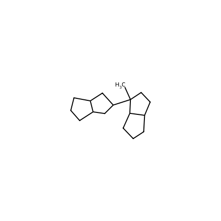 CC1(C2CC3CCCC3C2)CCC2CCCC21